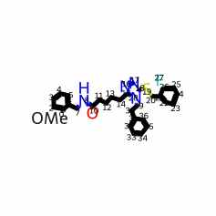 COc1ccccc1CNC(=O)CCCCc1nnc(SCc2ccccc2F)n1CCc1ccccc1